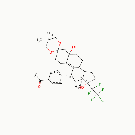 CC(=O)c1ccc([C@H]2C[C@@]3(C)C(CC[C@@]3(O)C(F)(F)C(F)(F)F)C3CCC4(O)CC5(CCC4=C32)OCC(C)(C)CO5)cc1